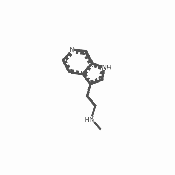 CNCCc1c[nH]c2cnccc12